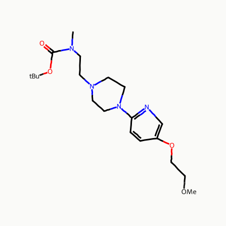 COCCOc1ccc(N2CCN(CCN(C)C(=O)OC(C)(C)C)CC2)nc1